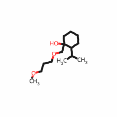 COCCCOCC1(O)CCCCC1C(C)C